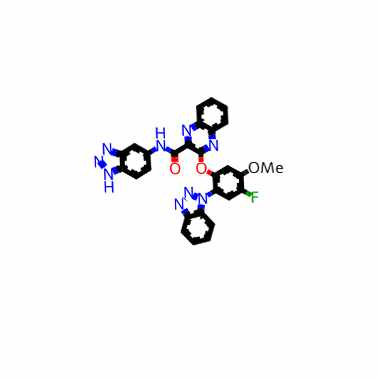 COc1cc(Oc2nc3ccccc3nc2C(=O)Nc2ccc3[nH]nnc3c2)c(-n2nnc3ccccc32)cc1F